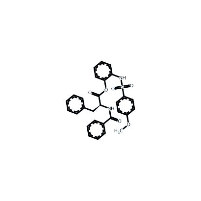 COc1ccc(S(=O)(=O)Nc2ccccc2OC(=O)[C@H](Cc2ccccc2)NC(=O)c2ccccc2)cc1